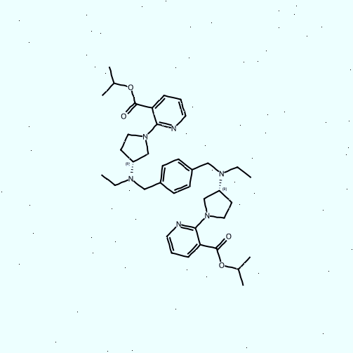 CCN(Cc1ccc(CN(CC)[C@@H]2CCN(c3ncccc3C(=O)OC(C)C)C2)cc1)[C@@H]1CCN(c2ncccc2C(=O)OC(C)C)C1